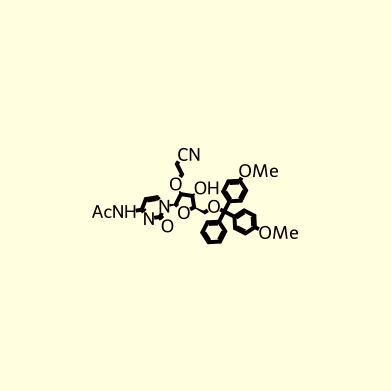 COc1ccc(C(OC[C@H]2O[C@@H](n3ccc(NC(C)=O)nc3=O)[C@H](OCCC#N)[C@@H]2O)(c2ccccc2)c2ccc(OC)cc2)cc1